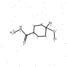 CCOC1(CC)CCC(C(=O)NN)CC1